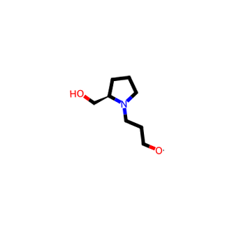 [O]CCCN1CCC[C@@H]1CO